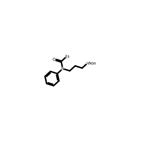 C[CH]C(=O)N(CCCCCCCCCCCC)c1ccccc1